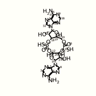 Nc1ncnc2c1ncn2[C@@H]1O[C@@H]2O[P@@](=O)(S)OC3[C@@H](CO[P@@](=O)(S)O[C@@H]2C1O)O[C@@H](n1cnc2c(N)ncnc21)[C@H]3O